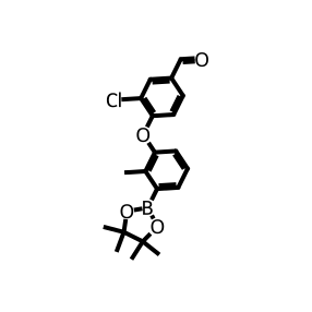 Cc1c(Oc2ccc(C=O)cc2Cl)cccc1B1OC(C)(C)C(C)(C)O1